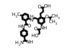 Cc1ccc(NCc2cc(NC(=O)CO)cc(OC(C)C)c2CCC(=O)O)c(C(=O)Nc2ccc(C(=N)N)cc2)c1